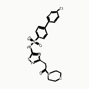 O=C(Cc1nsc(NS(=O)(=O)c2ccc(-c3ccc(Cl)cc3)cc2)n1)N1CCOCC1